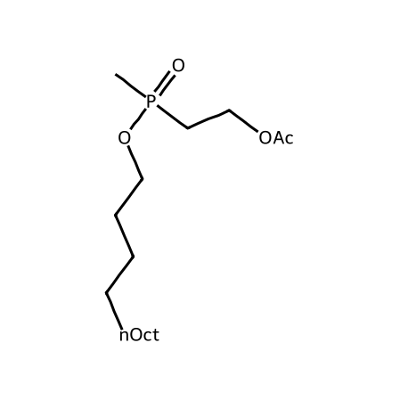 CCCCCCCCCCCCOP(C)(=O)CCOC(C)=O